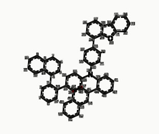 c1ccc(-c2cccc3ccccc23)c(-c2ccc(N(c3ccc(-c4cccc5c4oc4ccccc45)cc3)c3ccccc3-c3ccc4ccccc4c3)cc2)c1